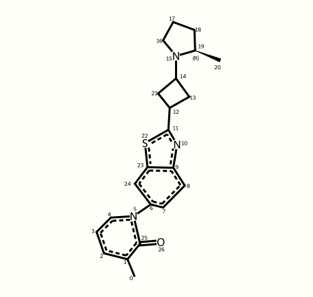 Cc1cccn(-c2ccc3nc(C4CC(N5CCC[C@H]5C)C4)sc3c2)c1=O